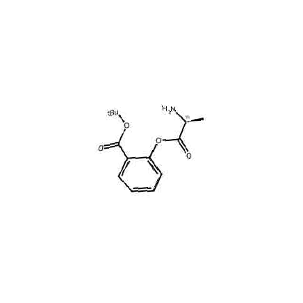 C[C@H](N)C(=O)Oc1ccccc1C(=O)OC(C)(C)C